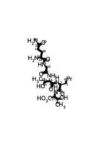 CC(C)C[C@H](NC(=O)[C@@H](NC(=O)CNC(=O)[C@@H](N)CCC(N)=O)[C@@H](C)O)C(=O)N[C@H](C(=O)O)[C@@H](C)O